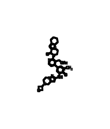 CC(=O)OCc1c(-c2cc(Nc3cc4n(n3)CCN(C3COC3)C4)c(=O)n(C)c2)ccnc1N1CCn2c(cc3c2CCCC3)C1=O